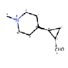 CN1CCC([C@H]2C[C@@H]2C=O)CC1